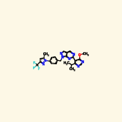 COc1ncnc(C(C)C)c1-c1ncc2cnn(Cc3ccc(-n4nc(C(F)(F)F)cc4C)cc3)c2n1